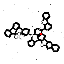 CC1(C)c2ccccc2-c2cccc(-c3ccc(N(c4ccc(-c5cccc6c5sc5ccccc56)cc4)c4ccccc4-c4cccc5c4oc4cc6ccccc6cc45)cc3)c21